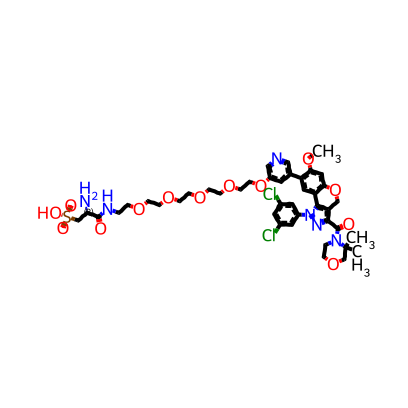 COc1cc2c(cc1-c1cncc(OCCOCCOCCOCCOCCNC(=O)[C@@H](N)CS(=O)(=O)O)c1)-c1c(c(C(=O)N3CCOCC3(C)C)nn1-c1cc(Cl)cc(Cl)c1)CO2